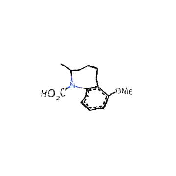 COc1cccc2c1CCC(C)N2C(=O)O